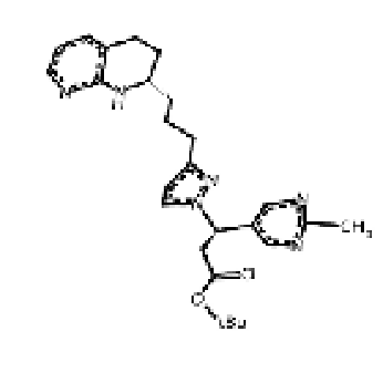 Cc1ncc([C@@H](CC(=O)OC(C)(C)C)n2ccc(CCC[C@H]3CCc4cccnc4N3)n2)cn1